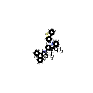 CC1=C(/C=C(\C)c2ccc3c(c2)C(C)(C)c2ccccc2N3c2ccc3sc4ccccc4c3c2)c2ccccc2C2C=CC=C[C@@H]12